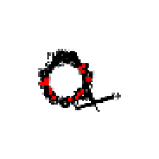 O=C1c2ccc3c4c5ccc(c24)C(=O)N1C1CCCC[C@@H]1N1C(=O)c2ccc4c6c(ccc(c26)C1=O)C(=O)N(C4=O)[C@H]1CCCC[C@@H]1N1C(=O)c2ccc4c6ccc7c8c(ccc(c9ccc(c2c49)C1=O)c86)C(=O)N(C7=O)C1CCCC[C@@H]1N(C3=O)C5=O